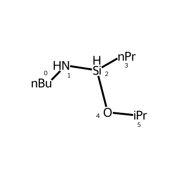 CCCCN[SiH](CCC)OC(C)C